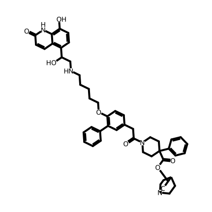 O=C(Cc1ccc(OCCCCCNCC(O)c2ccc(O)c3[nH]c(=O)ccc23)c(-c2ccccc2)c1)N1CCC(C(=O)OC2CN3CCC2CC3)(c2ccccc2)CC1